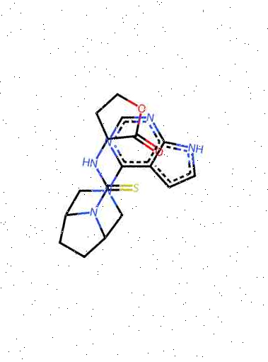 O=C1OCCC1NC(=S)N1C2CCC1CN(c1ncnc3[nH]ccc13)C2